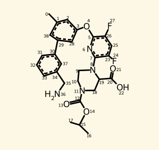 Cc1cc(Oc2nc(N3CCN(C(=O)OC(C)C)CC3C(=O)O)c(F)cc2F)cc(-c2cccc(CN)c2)c1